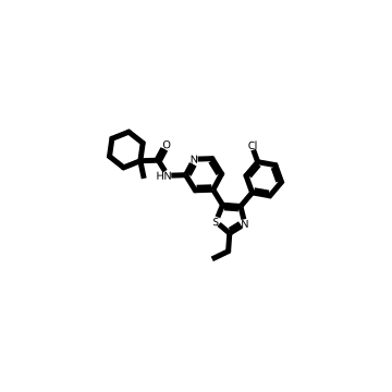 CCc1nc(-c2cccc(Cl)c2)c(-c2ccnc(NC(=O)C3(C)CCCCC3)c2)s1